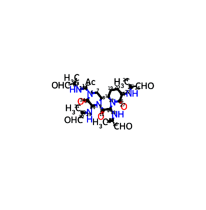 CC(=O)[C@H](N[C@@H](C)C=O)N1CCN(C(=O)[C@H](N[C@@H](C)C=O)N2CCC[C@@H](N[C@@H](C)C=O)C2=O)[C@@H](N[C@@H](C)C=O)C1=O